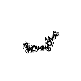 O=C(c1ccc2c(c1)ncn2CCC(F)(F)F)N1CC(N2CCN(C(=O)c3nccs3)CC2)C1